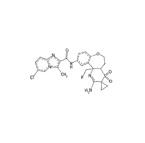 Cc1c(C(=O)Nc2ccc3c(c2)C2(CF)N=C(N)C4(CC4)S(=O)(=O)C2CCO3)nc2ccc(Cl)cn12